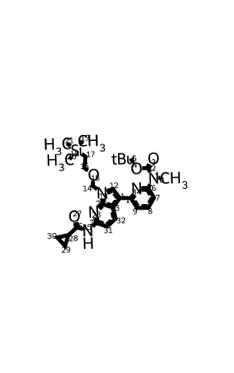 CN(C(=O)OC(C)(C)C)c1cccc(-c2cn(COCC[Si](C)(C)C)c3nc(NC(=O)C4CC4)ccc23)n1